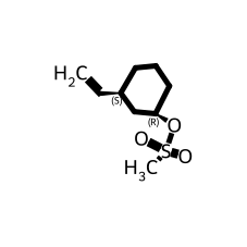 C=C[C@H]1CCC[C@@H](OS(C)(=O)=O)C1